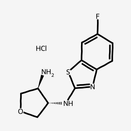 Cl.N[C@@H]1COC[C@H]1Nc1nc2ccc(F)cc2s1